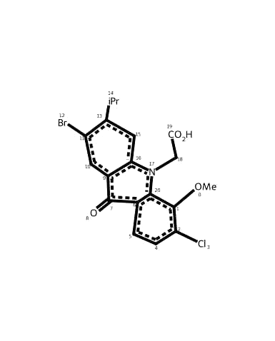 COc1c(Cl)ccc2c(=O)c3cc(Br)c(C(C)C)cc3n(CC(=O)O)c12